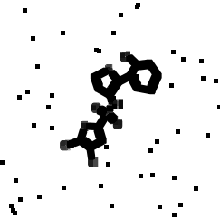 O=S(=O)(Nc1ccsc1-c1ccccc1Cl)c1cc(Cl)c(Cl)s1